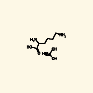 NCCCCC(N)C(=O)O.O[SiH](O)O